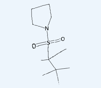 CC(C)(C)C(C)(C)S(=O)(=O)N1CCCC1